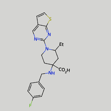 CCC1CC(NCc2ccc(F)cc2)(C(=O)O)CCN1c1ncc2ccsc2n1